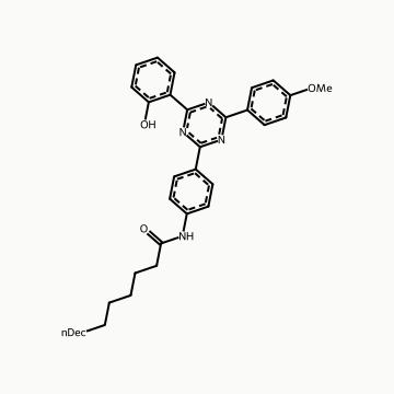 CCCCCCCCCCCCCCCC(=O)Nc1ccc(-c2nc(-c3ccc(OC)cc3)nc(-c3ccccc3O)n2)cc1